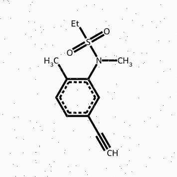 C#Cc1ccc(C)c(N(C)S(=O)(=O)CC)c1